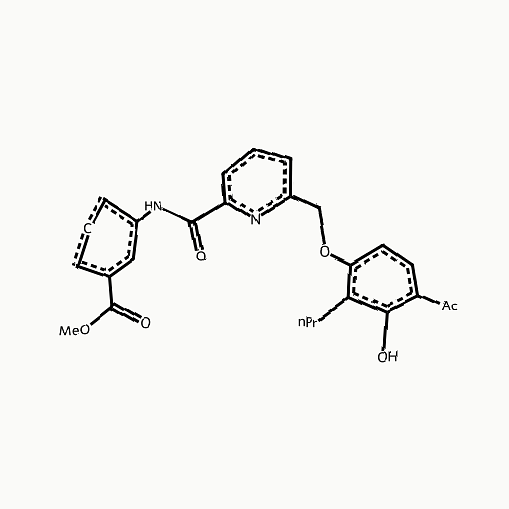 CCCc1c(OCc2cccc(C(=O)Nc3cccc(C(=O)OC)c3)n2)ccc(C(C)=O)c1O